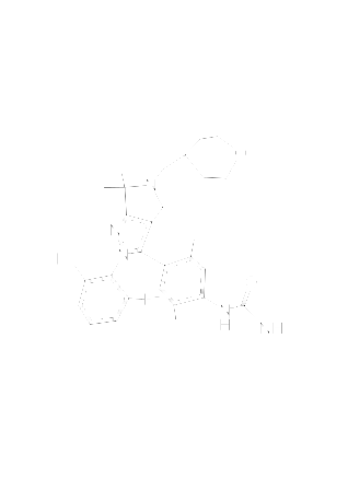 CCc1cccc(CC)c1-n1nc2c(c1-c1cc(F)c(NC(N)=O)cc1F)CN(CC1CCOCC1)C2(C)C